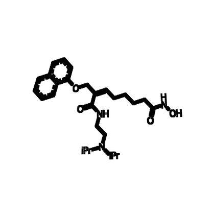 CC(C)N(CCNC(=O)C(=CCCCCC(=O)NO)COc1cccc2ccccc12)C(C)C